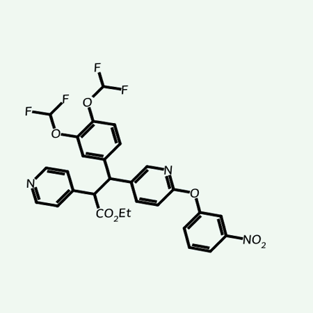 CCOC(=O)C(c1ccncc1)C(c1ccc(Oc2cccc([N+](=O)[O-])c2)nc1)c1ccc(OC(F)F)c(OC(F)F)c1